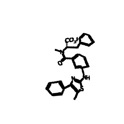 Cc1sc(Nc2cccc(C(=O)N(C)[C@@H](Cc3ccccc3)C(=O)O)c2)nc1-c1ccccc1